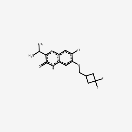 CC(N)c1nc2cc(Cl)c(OCC3CC(F)(F)C3)cc2[nH]c1=O